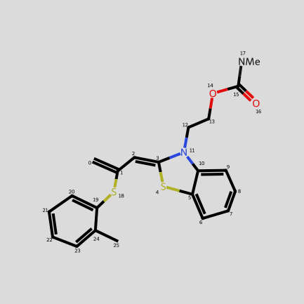 C=C(/C=C1\Sc2ccccc2N1CCOC(=O)NC)Sc1ccccc1C